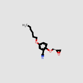 CCCCCCOc1ccc(OC[C@@H]2CO2)c(C#N)c1